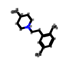 Cc1ccc([N+](=O)[O-])cc1CCN1CCC([C]=O)CC1